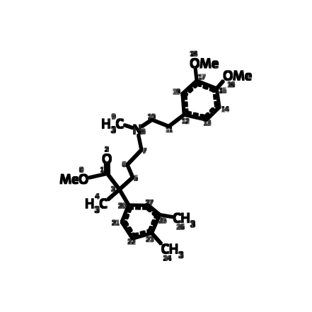 COC(=O)C(C)(CCCN(C)CCc1ccc(OC)c(OC)c1)c1ccc(C)c(C)c1